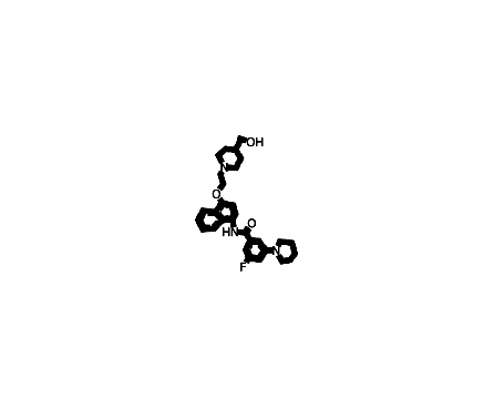 O=C(Nc1ccc(OCCN2CCC(CO)CC2)c2ccccc12)c1cc(F)cc(N2CCCCC2)c1